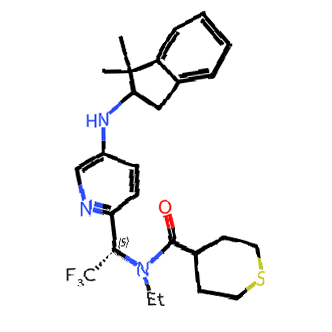 CCN(C(=O)C1CCSCC1)[C@@H](c1ccc(NC2Cc3ccccc3C2(C)C)cn1)C(F)(F)F